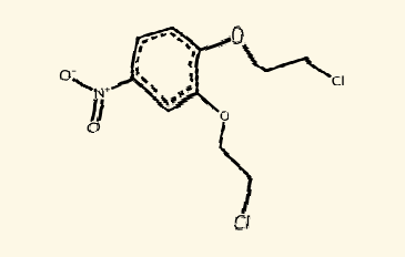 O=[N+]([O-])c1ccc(OCCCl)c(OCCCl)c1